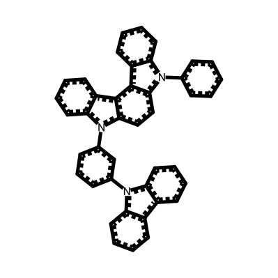 c1ccc(-n2c3ccccc3c3c4c5ccccc5n(-c5cccc(-n6c7ccccc7c7ccccc76)c5)c4ccc32)cc1